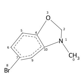 CN1COc2ccc(Br)cc21